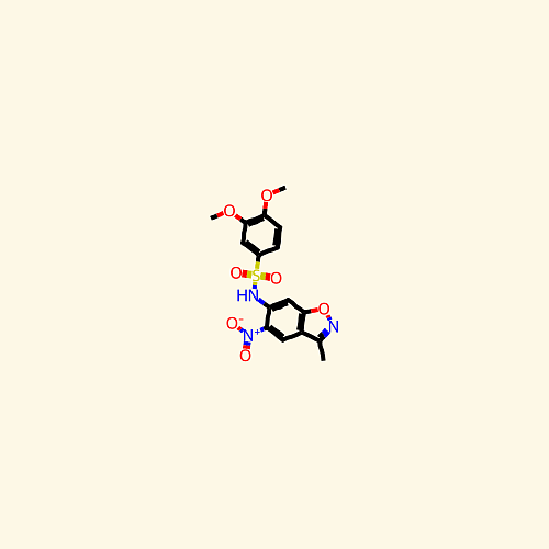 COc1ccc(S(=O)(=O)Nc2cc3onc(C)c3cc2[N+](=O)[O-])cc1OC